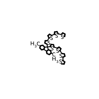 Cc1ccc2c(c1)C(c1ccc(-c3ccc(-c4ccc(-c5cccs5)s4)s3)s1)(c1ccc(-c3ccc(-c4ccc(-c5cccs5)s4)s3)s1)c1cc(C)ccc1-2